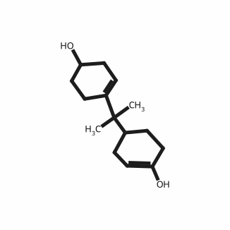 CC(C)(C1=CCC(O)CC1)C1CC=C(O)CC1